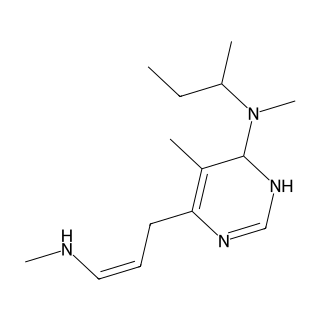 CCC(C)N(C)C1NC=NC(C/C=C\NC)=C1C